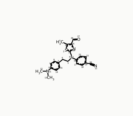 Cc1sc(N(CCc2ccc(N(C)C)cc2)c2ccc(C#N)cc2)nc1C=O